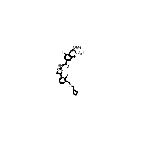 COC(=Cc1c(F)cc(C(=O)Nc2nc(-c3cccc(COCC4CCC4)c3F)cs2)cc1F)C(=O)O